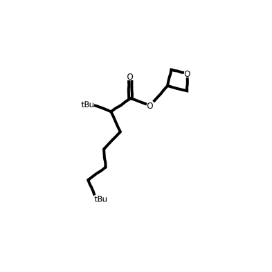 CC(C)(C)CCCCC(C(=O)OC1COC1)C(C)(C)C